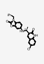 CC(C)Cn1c(=O)oc2cc(N[C@@H](C)c3cc4cc(Cl)ccc4[nH]c3=O)ccc21